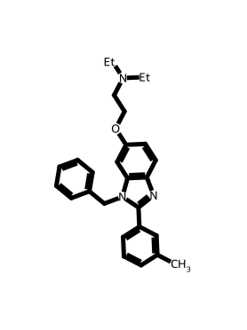 CCN(CC)CCOc1ccc2nc(-c3cccc(C)c3)n(Cc3ccccc3)c2c1